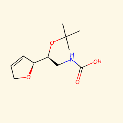 CC(C)(C)O[C@@H](CNC(=O)O)[C@@H]1C=CCO1